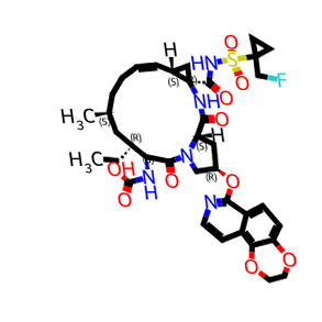 CC[C@@H]1C[C@@H](C)CCC=C[C@@H]2C[C@@]2(C(=O)NS(=O)(=O)C2(CF)CC2)NC(=O)[C@@H]2C[C@@H](Oc3nccc4c5c(ccc34)OCCO5)CN2C(=O)[C@H]1NC(=O)O